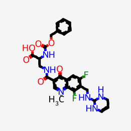 Cn1cc(C(=O)NCC(NC(=O)OCc2ccccc2)C(=O)O)c(=O)c2cc(F)c(CNC3NC=CCN3)c(F)c21